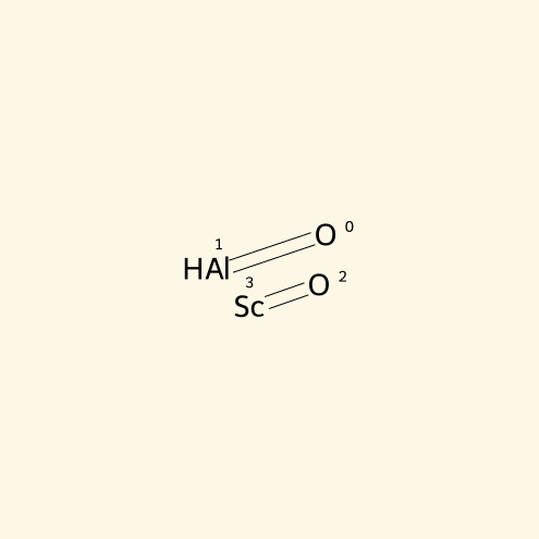 [O]=[AlH].[O]=[Sc]